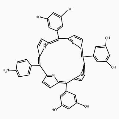 Nc1ccc(-c2c3nc(c(-c4cc(O)cc(O)c4)c4ccc([nH]4)c(-c4cc(O)cc(O)c4)c4nc(c(-c5cc(O)cc(O)c5)c5ccc2[nH]5)C=C4)C=C3)cc1